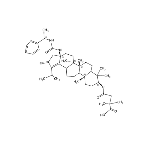 CC(C)C1=C2C3CCC4[C@@]5(C)CC[C@H](OC(=O)CC(C)(C)C(=O)O)C(C)(C)C5CC[C@@]4(C)[C@]3(C)CC[C@@]2(NC(=O)N[C@@H](C)c2ccccc2)CC1=O